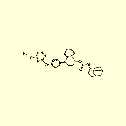 COc1ccnc(Oc2ccc(N3CCN(OC(=O)NC4C5CC6CC(C5)CC4C6)c4ccccc43)cc2)n1